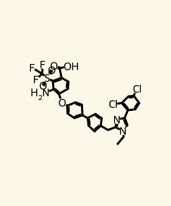 CCn1cc(-c2ccc(Cl)cc2Cl)nc1Cc1ccc(-c2ccc(Oc3ccc(C(=O)O)c(S(=O)(=O)C(F)(F)F)c3N)cc2)cc1